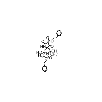 CC1(C)CC2(CC(C)(C)N1C(=O)OCCc1ccccc1)NC(=O)N(C(=O)OCCc1ccccc1)C2=O